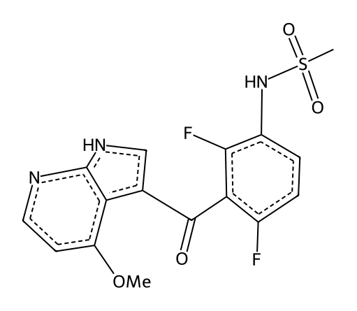 COc1ccnc2[nH]cc(C(=O)c3c(F)ccc(NS(C)(=O)=O)c3F)c12